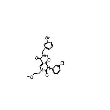 COCCn1cc(C(=O)NCc2cccc(Br)c2)c(=O)n(-c2cccc(Cl)c2)c1=O